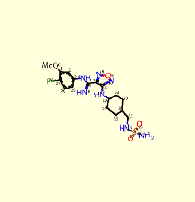 COc1cc(NC(=N)c2nonc2NC2CCC(CNS(N)(=O)=O)CC2)ccc1F